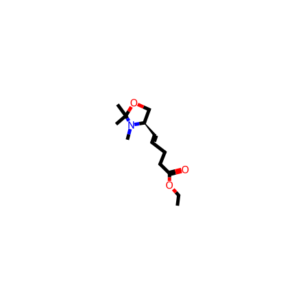 CCOC(=O)CCC=C[C@@H]1COC(C)(C)N1C